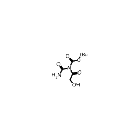 CC(C)(C)OC(=O)N(C(N)=O)C(=O)CO